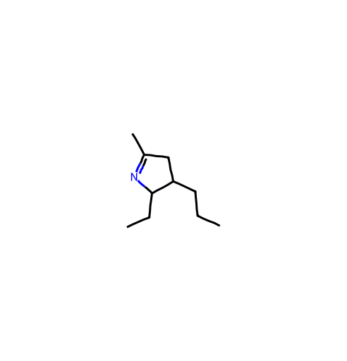 CCCC1CC(C)=NC1CC